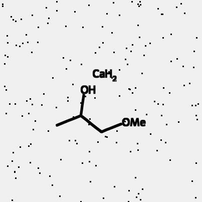 COCC(C)O.[CaH2]